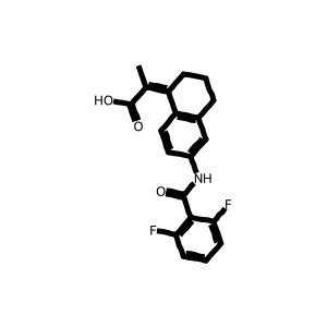 CC(C(=O)O)=C1CCCc2cc(NC(=O)c3c(F)cccc3F)ccc21